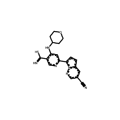 N#Cc1cnn2c(-c3cc(NC4CCOCC4)c(C(=N)S)cn3)ccc2c1